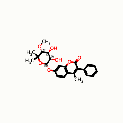 CO[C@@H]1[C@@H](O)[C@@H](O)[C@H](Oc2ccc3c(C)c(-c4ccccc4)c(=O)oc3c2)OC1(C)C